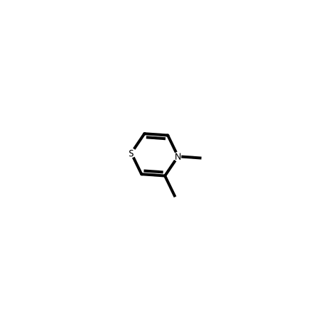 CC1=CSC=CN1C